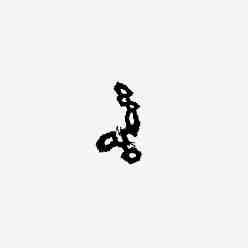 c1ccc2c(c1)ccc1c3cc(-c4nc5ccccc5c5c4sc4ccccc45)ccc3ccc21